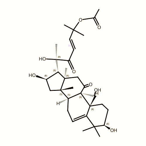 CC(=O)OC(C)(C)/C=C/C(=O)[C@](C)(O)[C@H]1[C@H](O)C[C@@]2(C)[C@@H]3CC=C4[C@@H](CC[C@@H](O)C4(C)C)[C@]3(CO)C(=O)C[C@]12C